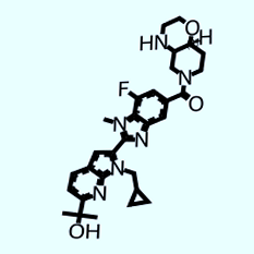 Cn1c(-c2cc3ccc(C(C)(C)O)nc3n2CC2CC2)nc2cc(C(=O)N3CC[C@H]4OCCNC4C3)cc(F)c21